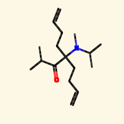 C=CCCC(CCC=C)(C(=O)C(C)C)N(C)C(C)C